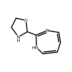 C1=CN=C(C2NCCO2)NC=C1